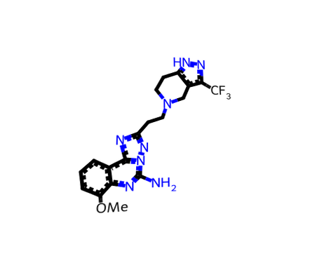 COc1cccc2c1nc(N)n1nc(CCN3CCc4[nH]nc(C(F)(F)F)c4C3)nc21